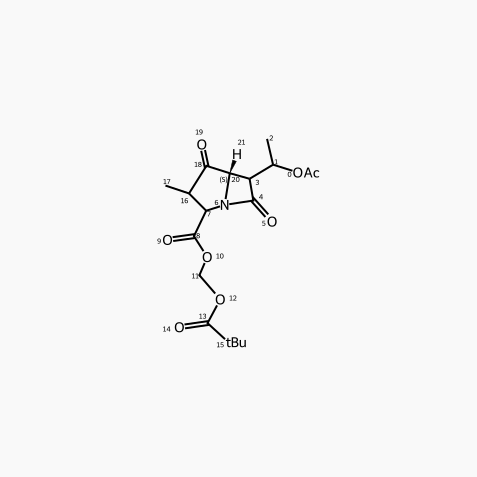 CC(=O)OC(C)C1C(=O)N2C(C(=O)OCOC(=O)C(C)(C)C)C(C)C(=O)[C@H]12